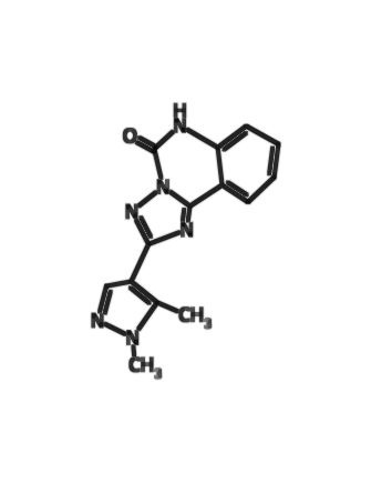 Cc1c(-c2nc3c4ccccc4[nH]c(=O)n3n2)cnn1C